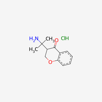 CC(C)(N)C1COc2ccccc2C1=O.Cl